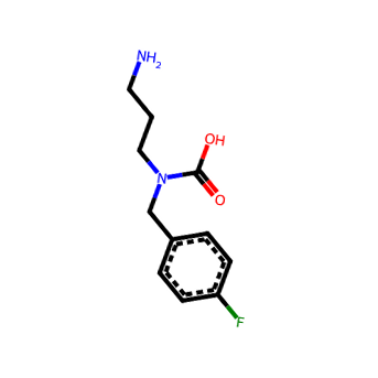 NCCCN(Cc1ccc(F)cc1)C(=O)O